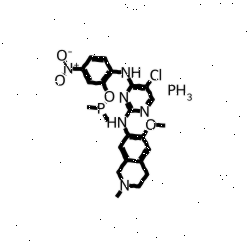 COc1cc2c(cc1Nc1ncc(Cl)c(Nc3ccc([N+](=O)[O-])cc3OP(C)C)n1)CN(C)CC2.P